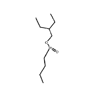 CCC[CH2][Sn](=[O])[O]CC(CC)CC